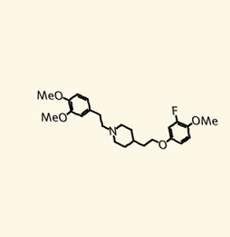 COc1ccc(OCCC2CCN(CCc3ccc(OC)c(OC)c3)CC2)cc1F